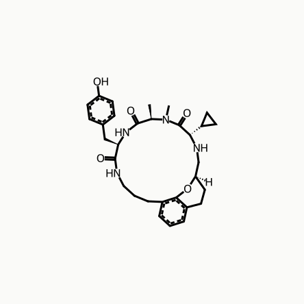 C[C@@H]1C(=O)N[C@H](Cc2ccc(O)cc2)C(=O)NCCCc2cccc3c2O[C@H](CC3)CN[C@@H](C2CC2)C(=O)N1C